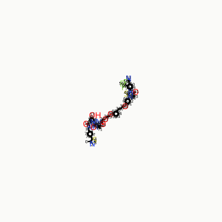 Cc1ncsc1-c1ccc(CNC(=O)[C@@H]2C[C@@H](O)CN2C(=O)[C@@H](NC(=O)COCCOc2cccc(CCCOc3ccc(N4C(=S)N(c5ccc(C#N)c(C(F)(F)F)c5)C(=O)C4(C)C)cc3)c2)C(C)(C)C)cc1